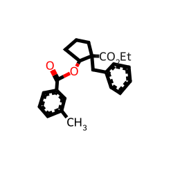 CCOC(=O)C1(Cc2ccccc2)CCCC1OC(=O)c1cccc(C)c1